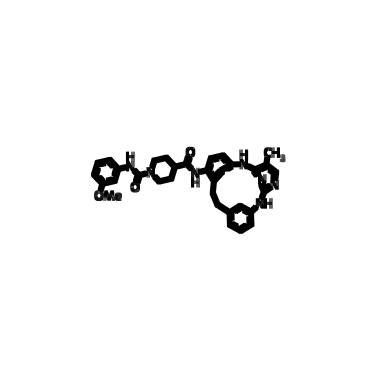 COc1cccc(NC(=O)N2CCC(C(=O)Nc3ccc4cc3CCc3cccc(c3)Nc3ncc(C)c(n3)N4)CC2)c1